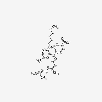 CCCCCCn1c(=O)c(OC(C)=O)c(OCC=C(C)CCC=C(C)C)c2ccc([N+](=O)[O-])cc21